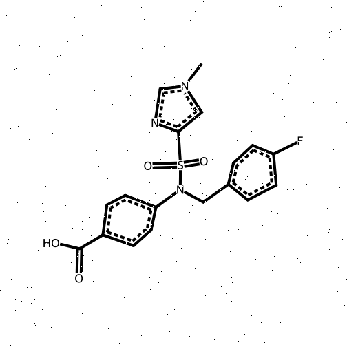 Cn1cnc(S(=O)(=O)N(Cc2ccc(F)cc2)c2ccc(C(=O)O)cc2)c1